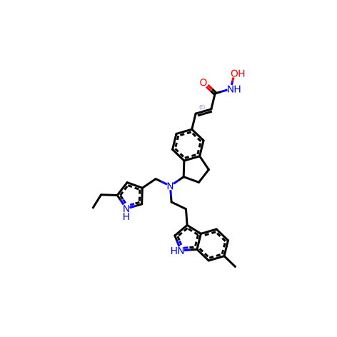 CCc1cc(CN(CCc2c[nH]c3cc(C)ccc23)C2CCc3cc(/C=C/C(=O)NO)ccc32)c[nH]1